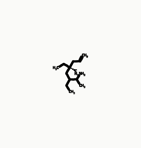 C=CC[C@](C)(CC)CC(CC)C(C)N